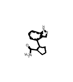 NC(=O)C1CCCC1c1cccc2[nH]ncc12